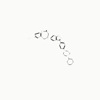 COc1ccc2c(c1)CC[C@@H](c1ccc3c(-c4ccc(N5CCN(C6CCCCC6)CC5)cc4)n[nH]c3c1)CC(=O)N2